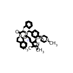 Cc1nn(C)c(C)c1/C=C/C(=O)N(Cc1ccc(N2CCN(C)CC2)cc1)[C@@H](Cc1ccccc1)C(=O)N1CCc2ccccc2C1